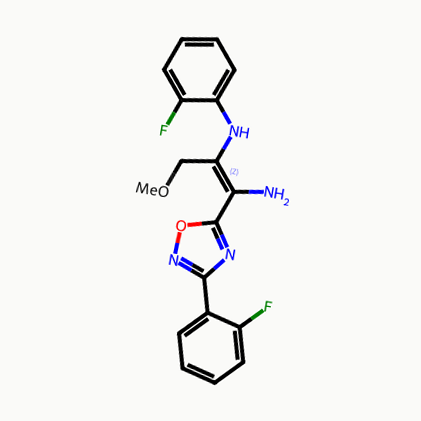 COC/C(Nc1ccccc1F)=C(/N)c1nc(-c2ccccc2F)no1